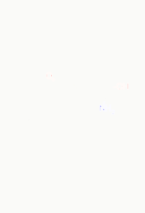 Cc1ccc(CCCCC(=O)c2cc(C)c(CCC(C)(N)CO)s2)cc1C